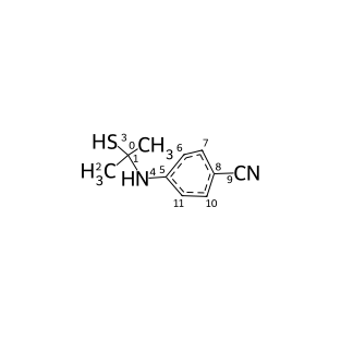 CC(C)(S)Nc1ccc(C#N)cc1